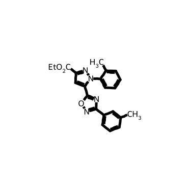 CCOC(=O)c1cc(-c2nc(-c3cccc(C)c3)no2)n(-c2ccccc2C)n1